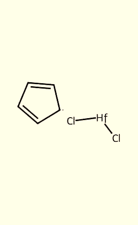 [CH]1C=CC=C1.[Cl][Hf][Cl]